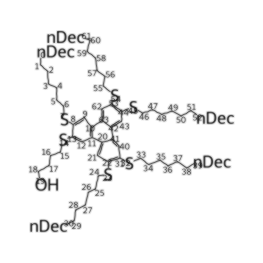 CCCCCCCCCCCCCCCCSc1cc2c(cc1SCCCCO)c1cc(SCCCCCCCCCCCCCCCC)c(SCCCCCCCCCCCCCCCC)cc1c1cc(SCCCCCCCCCCCCCCCC)c(SCCCCCCCCCCCCCCCC)cc21